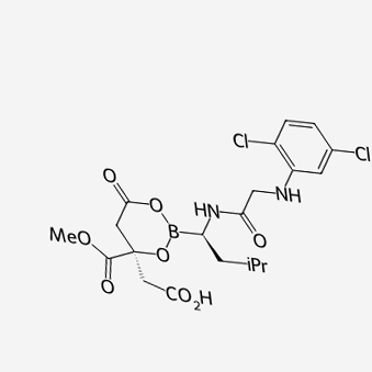 COC(=O)[C@@]1(CC(=O)O)CC(=O)OB([C@H](CC(C)C)NC(=O)CNc2cc(Cl)ccc2Cl)O1